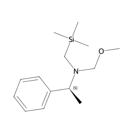 COCN(C[Si](C)(C)C)[C@@H](C)c1ccccc1